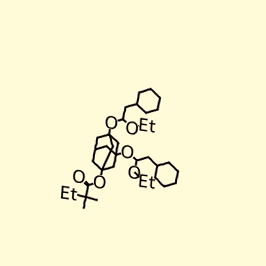 CCOC(CC1CCCCC1)OC12CC3CC(OC(=O)C(C)(C)CC)(C1)CC(OC(CC1CCCCC1)OCC)(C3)C2